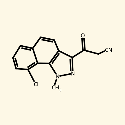 Cn1nc(C(=O)CC#N)c2ccc3cccc(Cl)c3c21